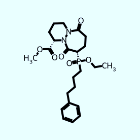 CCOP(=O)(CCCCc1ccccc1)[C@H]1CCC(=O)N2CCC[C@@H](C(=O)OC)N2C1=O